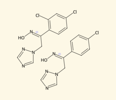 O/N=C(\Cn1cncn1)c1ccc(Cl)cc1.O/N=C(\Cn1cncn1)c1ccc(Cl)cc1Cl